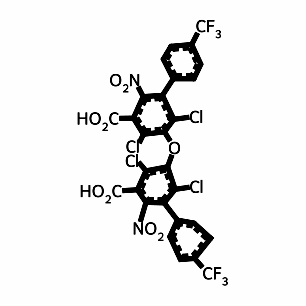 O=C(O)c1c(Cl)c(Oc2c(Cl)c(C(=O)O)c([N+](=O)[O-])c(-c3ccc(C(F)(F)F)cc3)c2Cl)c(Cl)c(-c2ccc(C(F)(F)F)cc2)c1[N+](=O)[O-]